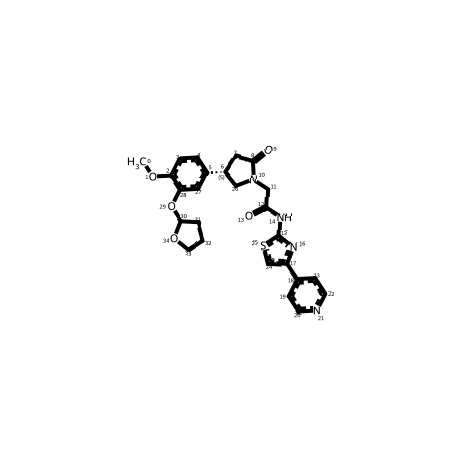 COc1ccc([C@@H]2CC(=O)N(CC(=O)Nc3nc(-c4ccncc4)cs3)C2)cc1OC1CCCO1